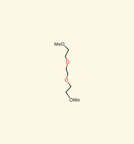 [CH2]OCCOCCOCCOC